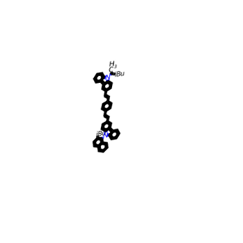 CCC(C)c1ccc2ccccc2c1-n1c2ccccc2c2cc(/C=C/c3ccc(/C=C/c4ccc5c(c4)c4ccccc4n5C(C)C(C)CC)cc3)ccc21